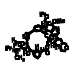 CO[C@@H](C)c1ncc([C@@H]2CCN3CCOCC3C2)cc1-c1c2c3cc(ccc3n1CCOC(C)C)-c1csc(n1)[C@@H](OCC(F)F)[C@H](NC(=O)[C@@H]1[C@H](C)[C@@H]1C(C)C)C(=O)N1CCC[C@H](N1)C(=O)OCC(C)(C)C2